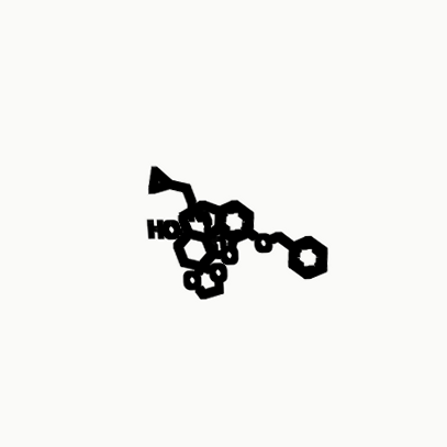 O[C@@]12CCC3(OCCO3)[C@@H]3Oc4c(OCc5ccccc5)ccc5c4[C@@]31CCN(CC1CC1)C2C5